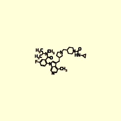 Cc1cncc2c1c(CC1CCN(CC3CCN(C(=O)NC4CC4)CC3)C1)cn2-c1ccc(F)cc1C(=O)N(C)C(C)C